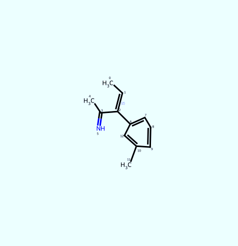 C/C=C(\C(C)=N)c1cccc(C)c1